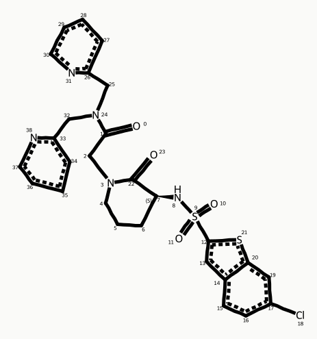 O=C(CN1CCC[C@H](NS(=O)(=O)c2cc3ccc(Cl)cc3s2)C1=O)N(Cc1ccccn1)Cc1ccccn1